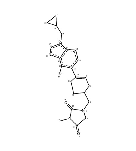 CN1C(=O)CN(CC2CC=C(c3ccc4c(nnn4CC4CC4)c3Br)CC2)C1=O